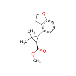 COC(=O)[C@@H]1C(c2cccc3c2CCO3)C1(C)C